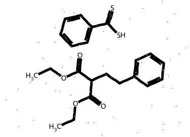 CCOC(=O)C(CCc1ccccc1)C(=O)OCC.S=C(S)c1ccccc1